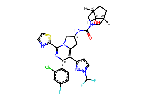 O=C(N[C@H]1CC2=C(c3ccn(C(F)F)n3)[C@H](c3ccc(F)cc3Cl)N=C(c3nccs3)N2C1)N1C[C@H]2CC[C@@H](C1)[C@H]2O